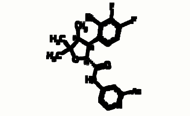 CCc1c([C@H]2[C@H](C(=O)Nc3ccnc(C(C)=O)c3)OC(C)(C)[C@H]2C)ccc(F)c1F